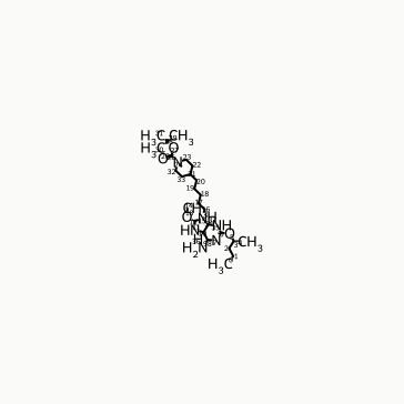 CCC[C@H](C)OC1=NC(N)[C@H]2N[C@@H](OC)N(CCCCCC3CCN(C(=O)OC(C)(C)C)CC3)[C@H]2N1